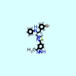 Cc1n[nH]c2ccc(C3=NN(C[C@H](Cc4cccc(Br)c4)Nc4ccccc4)CS3)cc12